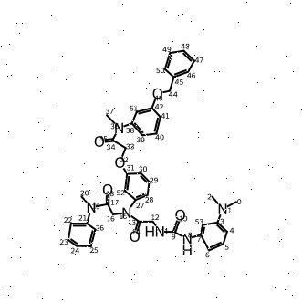 CN(C)c1cccc(NC(=O)NCC(=O)N(CC(=O)N(C)c2ccccc2)c2cccc(OCC(=O)N(C)c3cccc(OCc4ccccc4)c3)c2)c1